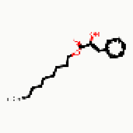 CCCCCCCCCCCCCCCCCCOC(=O)C(O)=Cc1ccccc1